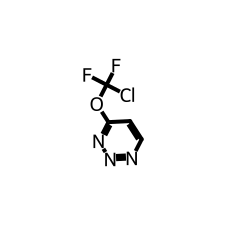 FC(F)(Cl)Oc1ccnnn1